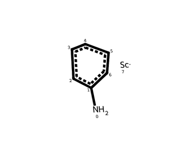 Nc1ccccc1.[Sc]